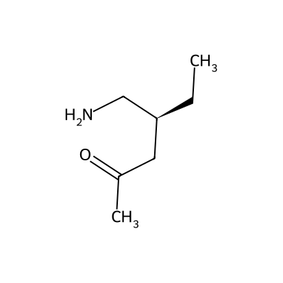 CC[C@H](CN)CC(C)=O